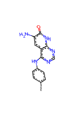 Cc1ccc(Nc2ncnc3[nH]c(=O)c(N)cc23)cc1